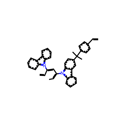 C=C/C(=C\C(=C/C)n1c2ccccc2c2cc(C(C)(C)c3ccc(C=C)cc3)ccc21)n1c2ccccc2c2ccccc21